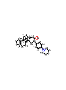 C[C@@]12CCC[C@H]1[C@@H]1CCC3=CC(=O)C(c4ccc(N5CCCCC5)cc4)CC3=C1CC2